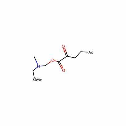 COCN(C)COC(=O)C(=O)CCC(C)=O